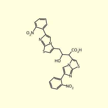 O=C(O)C(c1csc2nc(-c3ccccc3[N+](=O)[O-])cn12)C(O)Cc1csc2nc(-c3ccccc3[N+](=O)[O-])cn12